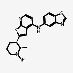 CC(C)N1CCC[C@@H](c2cc3c(Nc4ccc5scnc5c4)ccnc3s2)[C@H]1C